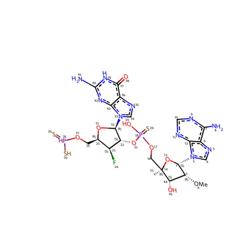 CO[C@H]1[C@@H](n2cnc3c(N)ncnc32)O[C@](C)(COP(O)(=S)O[C@@H]2[C@@H](F)[C@@H](CO[PH](=S)S)O[C@H]2n2cnc3c(=O)[nH]c(N)nc32)[C@H]1O